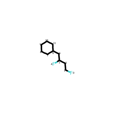 FCCC(F)CC1CCCCC1